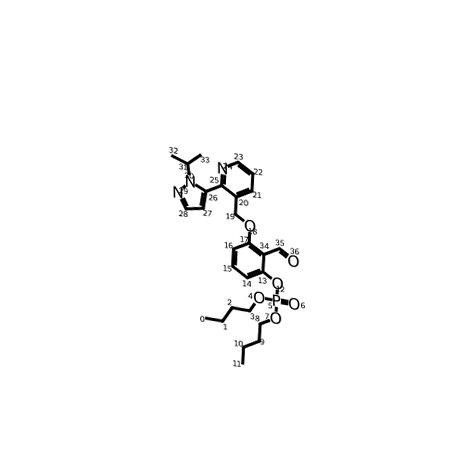 CCCCOP(=O)(OCCCC)Oc1cccc(OCc2cccnc2-c2ccnn2C(C)C)c1C=O